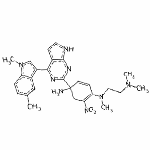 Cc1ccc2c(c1)c(-c1nc(C3(N)C=CC(N(C)CCN(C)C)=C([N+](=O)[O-])C3)nc3[nH]ccc13)cn2C